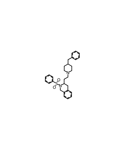 O=S(=O)(c1ccccc1)N1Cc2ccccc2CC1CCN1CCC(Cc2ccccc2)CC1